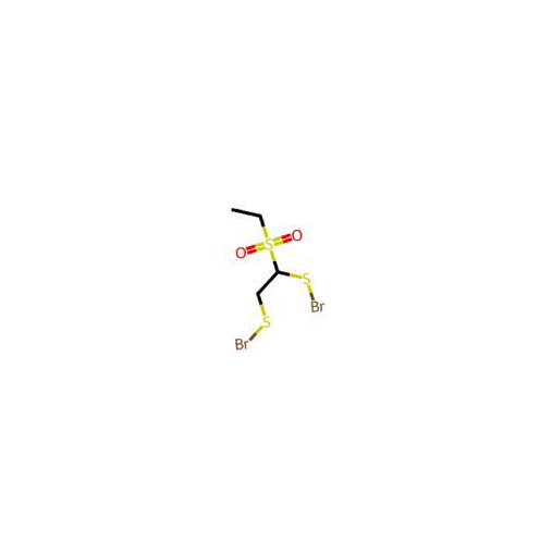 CCS(=O)(=O)C(CSBr)SBr